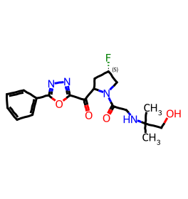 CC(C)(CO)NCC(=O)N1C[C@@H](F)CC1C(=O)c1nnc(-c2ccccc2)o1